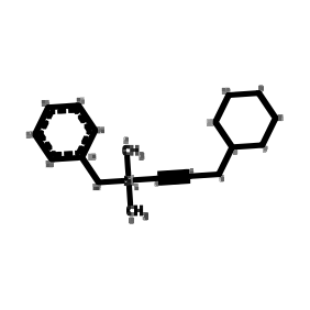 C[Si](C)(C#CCC1CCCCC1)Cc1ccccc1